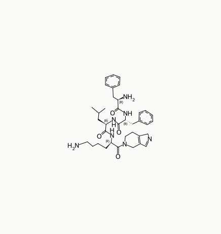 CC(C)C[C@@H](NC(=O)[C@@H](Cc1ccccc1)NC(=O)[C@H](N)Cc1ccccc1)C(=O)N[C@H](CCCCN)C(=O)N1CCC2=C(C=NC2)C1